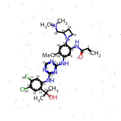 C=CC(=O)Nc1cc(Nc2ncnc(Nc3cc(F)c(Cl)cc3C(C)(C)O)n2)c(OC)cc1N1CCC1CN(C)C